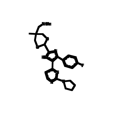 CC(=O)NCC1(C)COC(c2nc(-c3ccc(F)cc3)c(-c3ccnc(N4CCCC4)n3)[nH]2)OC1